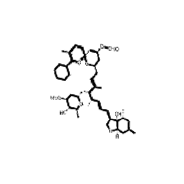 CO[C@H]1C[C@H](C[C@H](/C(C)=C/C[C@@H]2C[C@H](OC=O)C[C@]3(CC[C@H](C)C(C4CCCCC4)O3)O2)[C@@H](C)/C=C/C=C2\CO[C@@H]3CC(C)=C[C@@H](C)[C@]23O)O[C@@H](C)[C@@H]1O